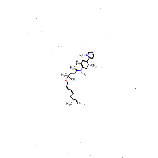 C=C[C@H](C)C/C=C\C=C/COC(C)(C)CCC(=C)N(C)C1=C(C)C=C(c2cccc[n+]2C)C(C)C1